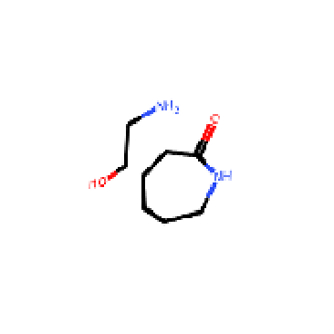 NCCO.O=C1CCCCCN1